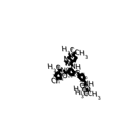 CC(C)c1ccc2c(Nc3cc(C(=O)N[C@@H](C)c4ccc(Cl)cc4)ccc3Sc3ccc(NC(=O)OC(C)(C)C)cc3)ncnc2n1